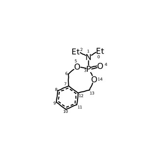 CCN(CC)P1(=O)OCc2ccccc2CO1